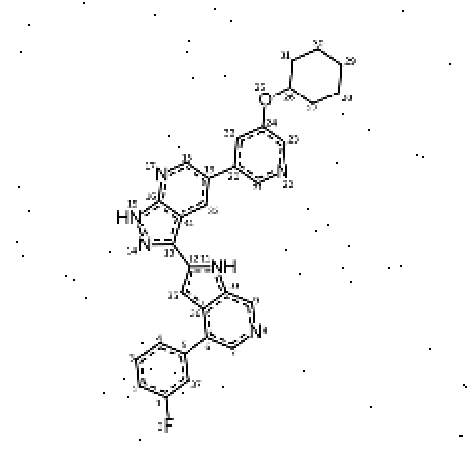 Fc1cccc(-c2cncc3[nH]c(-c4n[nH]c5ncc(-c6cncc(OC7CCCCC7)c6)cc45)cc23)c1